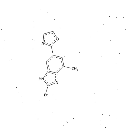 CCc1nc2c(C)cc(-c3ncco3)cc2[nH]1